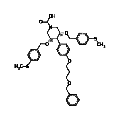 CSc1ccc(CO[C@H]2CN(C(=O)O)C[C@@H](OCc3ccc(SC)cc3)C2c2ccc(OCCCOCc3ccccc3)cc2)cc1